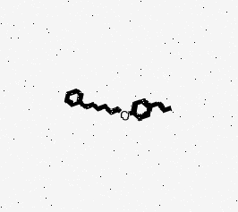 C/C=C/c1ccc(OCCCC/C=C/c2ccccc2)cc1